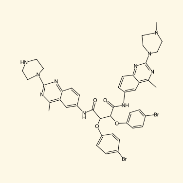 Cc1nc(N2CCNCC2)nc2ccc(NC(=O)C(Oc3ccc(Br)cc3)C(Oc3ccc(Br)cc3)C(=O)Nc3ccc4nc(N5CCN(C)CC5)nc(C)c4c3)cc12